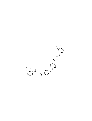 COc1ccc(O)c(/C(C)=N/NC(=O)c2ccc(Oc3ccc(C(=O)N/N=C(\C)c4cc(OC)ccc4O)cc3)cc2)c1